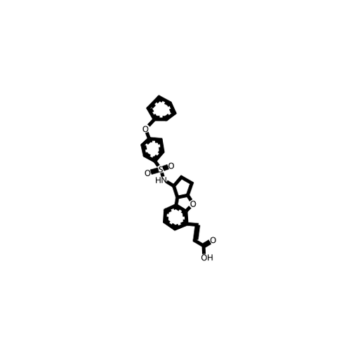 O=C(O)C=Cc1cccc2c1OC1CCC(NS(=O)(=O)c3ccc(Oc4ccccc4)cc3)C21